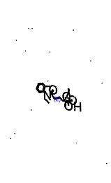 CCOP(=O)(O)C/C=C/C(=O)N(CC)c1ccccc1C